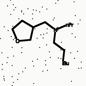 CCCN(CCC(C)CC)CC1CCOC1